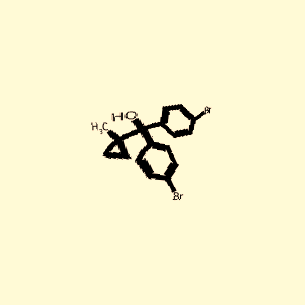 CC1(C(O)(c2ccc(Br)cc2)c2ccc(Br)cc2)CC1